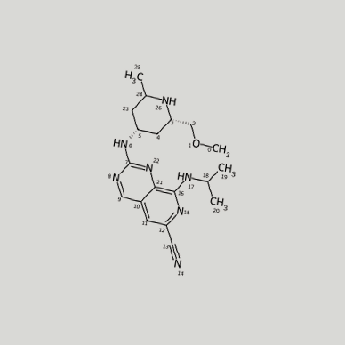 COC[C@@H]1C[C@H](Nc2ncc3cc(C#N)nc(NC(C)C)c3n2)CC(C)N1